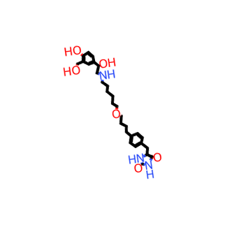 O=C1NC(=O)C(Cc2ccc(CCCCOCCCCCCNC[C@H](O)c3ccc(O)c(CO)c3)cc2)N1